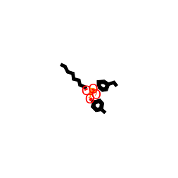 CCCCCCCCOP(=O)(Oc1ccc(C)cc1)Oc1ccc(CC)cc1